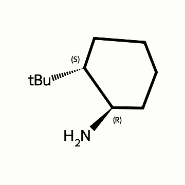 CC(C)(C)[C@@H]1CCCC[C@H]1N